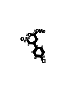 COC(=O)CC(C[N+](=O)[O-])c1ccc(Cl)cc1